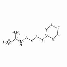 CC(NCCCCC1CCCCC1)C(=O)O